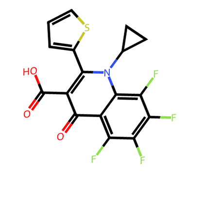 O=C(O)c1c(-c2cccs2)n(C2CC2)c2c(F)c(F)c(F)c(F)c2c1=O